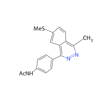 CSc1ccc2c(C)nnc(-c3ccc(NC(C)=O)cc3)c2c1